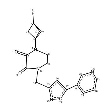 O=C1C(=O)N(C23CC(F)(C2)C3)CCN1Cc1cc(-c2cccnc2)on1